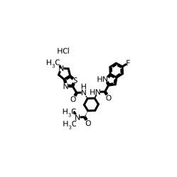 CN1Cc2nc(C(=O)N[C@H]3C[C@@H](C(=O)N(C)C)CC[C@@H]3NC(=O)c3cc4cc(F)ccc4[nH]3)sc2C1.Cl